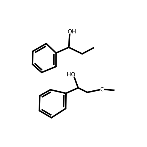 CCC(O)c1ccccc1.CCCC(O)c1ccccc1